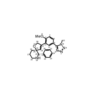 COc1ccc(-c2nnnn2C)cc1C1=C[C@@]2(CCCN[C@H]2c2ccccc2)OC1